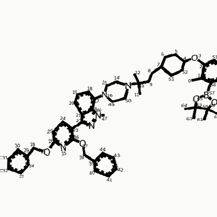 Cc1c(OC2CCC(CCC(C)(C)N3CCN(c4cccc5c(-c6ccc(OCc7ccccc7)nc6OCc6ccccc6)nn(C)c45)CC3)CC2)cccc1B1OC(C)(C)C(C)(C)O1